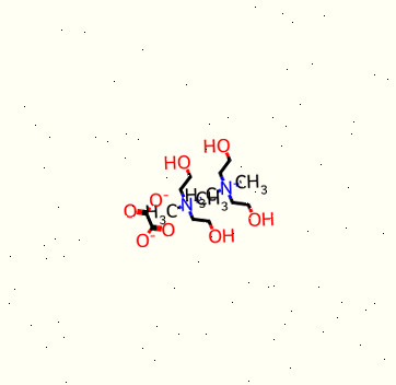 C[N+](C)(CCO)CCO.C[N+](C)(CCO)CCO.O=C([O-])C(=O)[O-]